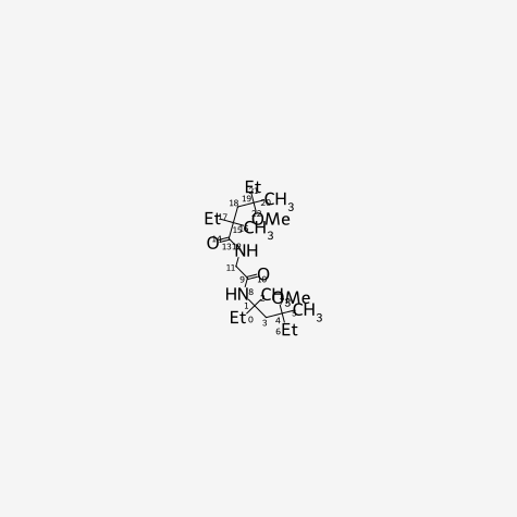 CCC(C)(CC(C)(CC)OC)NC(=O)CNC(=O)C(C)(CC)CC(C)(CC)OC